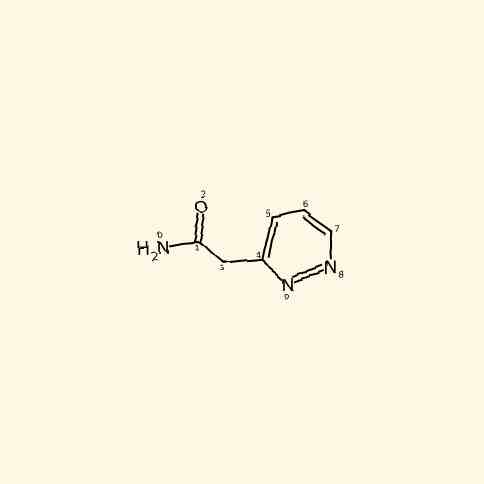 NC(=O)Cc1cccnn1